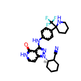 N#CC1CCCC[C@@H]1n1nc(Nc2ccc(C3(C(F)(F)F)CCCCN3)cc2)c2c(=O)[nH]ccc21